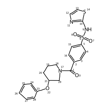 O=C(c1ccc(S(=O)(=O)Nc2nccs2)cc1)N1CCCC(Oc2ccccc2)C1